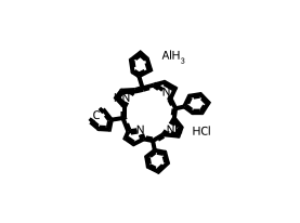 C1=Cc2nc1c(-c1ccccc1)c1ccc([nH]1)c(-c1ccccc1)c1nc(c(-c3ccccc3)c3ccc([nH]3)c2-c2ccccc2)C=C1.Cl.[AlH3]